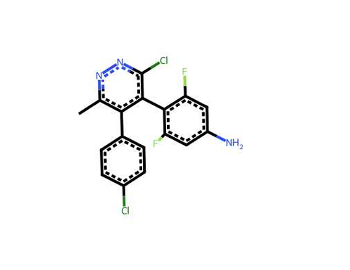 Cc1nnc(Cl)c(-c2c(F)cc(N)cc2F)c1-c1ccc(Cl)cc1